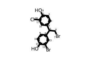 Oc1ccc(C(CBr)c2ccc(O)c(Br)c2)cc1Cl